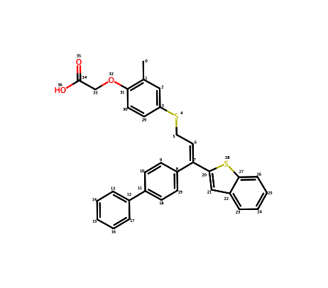 Cc1cc(SCC=C(c2ccc(-c3ccccc3)cc2)c2cc3ccccc3s2)ccc1OCC(=O)O